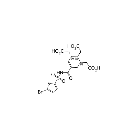 O=C(O)C[C@H]1CC(C(=O)NS(=O)(=O)c2ccc(Br)s2)=C[C@H](CC(=O)O)[C@H]1CC(=O)O